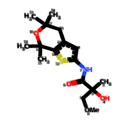 COCC(C)(O)C(=O)Nc1cc2c(s1)C(C)(C)OC(C)(C)C2